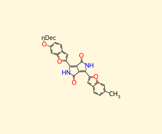 CCCCCCCCCCOc1ccc2cc(C3=C4C(=O)NC(c5cc6ccc(C)cc6o5)=C4C(=O)N3)oc2c1